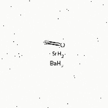 O=[Si].[BaH2].[SrH2]